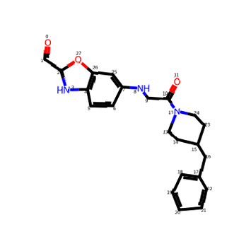 O=CC1Nc2ccc(NCC(=O)N3CCC(Cc4ccccc4)CC3)cc2O1